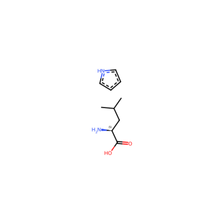 CC(C)C[C@H](N)C(=O)O.c1cc[nH]c1